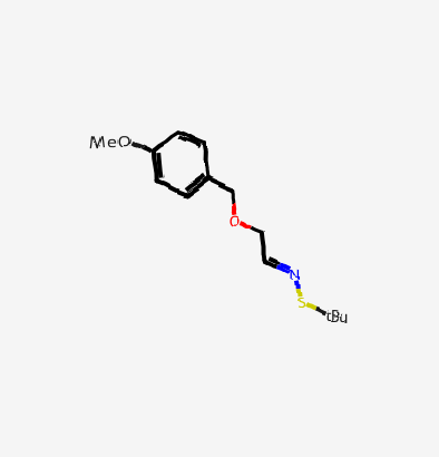 COc1ccc(COC/C=N/SC(C)(C)C)cc1